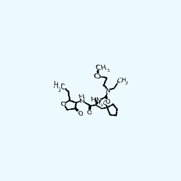 CCC1OCC(=O)C1NC(=O)C(CC1(C)CCCC1)NC(=O)N(CC)CCOC